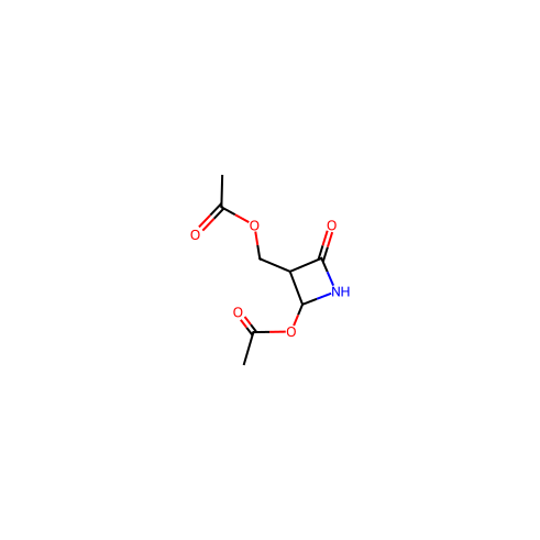 CC(=O)OCC1C(=O)NC1OC(C)=O